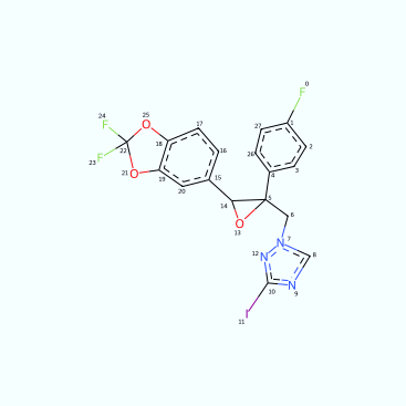 Fc1ccc(C2(Cn3cnc(I)n3)OC2c2ccc3c(c2)OC(F)(F)O3)cc1